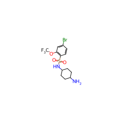 NC1CCC(NS(=O)(=O)c2ccc(Br)cc2OC(F)(F)F)CC1